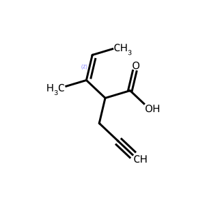 C#CCC(C(=O)O)/C(C)=C\C